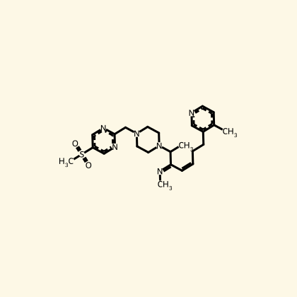 C/N=C(\C=C/CCc1cnccc1C)C(C)N1CCN(Cc2ncc(S(C)(=O)=O)cn2)CC1